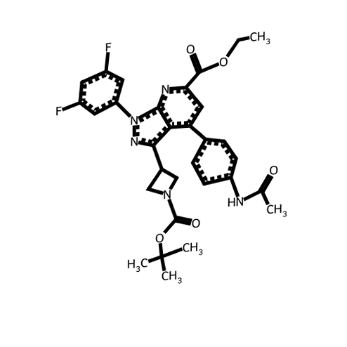 CCOC(=O)c1cc(-c2ccc(NC(C)=O)cc2)c2c(C3CN(C(=O)OC(C)(C)C)C3)nn(-c3cc(F)cc(F)c3)c2n1